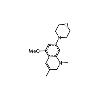 COc1cc(N2CCOCC2)cc2c1C=C(C)CN2C